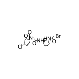 O=C(Cn1c(=O)oc2cc(Cl)ccc21)NCc1cccc(NC(=O)CBr)c1